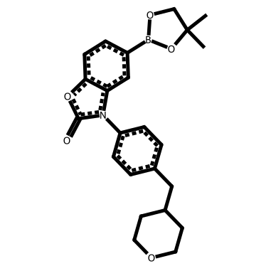 CC1(C)COB(c2ccc3oc(=O)n(-c4ccc(CC5CCOCC5)cc4)c3c2)O1